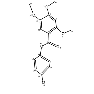 COc1cc(OC)c(C(=O)Oc2ccc(Cl)cc2)cc1OC